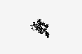 CC(C)[C@H](NC(=O)[C@H](CCC(=O)O)NC(=O)[C@H](CC(=O)O)NC(=O)OCc1ccccc1)C(=O)NN(CC(=O)O)C(=O)/C=C/C(=O)NCc1ccc(F)cc1